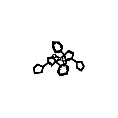 [Cl][Zr]([Cl])([C]1(c2ccccc2)C=CC(C2CCCC2)=P1)[C]1(c2ccccc2)C=CC(C2CCCC2)=P1